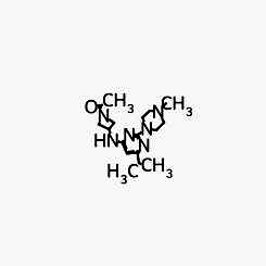 CC(=O)N1CC(Nc2cc(C(C)C)nc(N3CCN(C)CC3)n2)C1